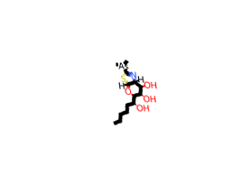 CCCCC[C@@H](O)[C@H]1O[C@@H]2SC([As](C)C)=N[C@@H]2[C@@H](O)[C@@H]1O